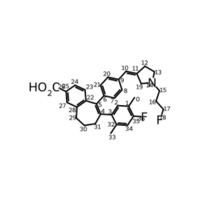 Cc1cc(C2=C(c3ccc(C=C4CCN(CCCF)C4)cc3)c3ccc(C(=O)O)cc3CCC2)c(C)cc1F